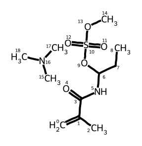 C=C(C)C(=O)NC(CC)OS(=O)(=O)OC.CN(C)C